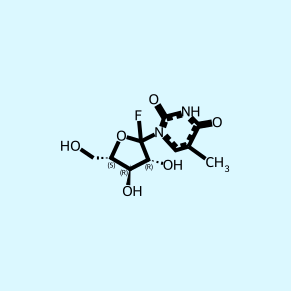 Cc1cn(C2(F)O[C@@H](CO)[C@H](O)[C@H]2O)c(=O)[nH]c1=O